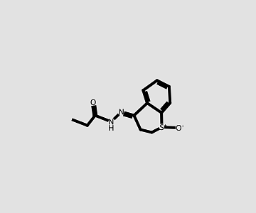 CCC(=O)N/N=C1\CC[S+]([O-])c2ccccc21